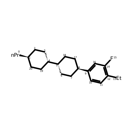 CCC[C@H]1CC[C@H]([C@H]2CC[C@H](c3ccc(CC)c(F)c3)CC2)CC1